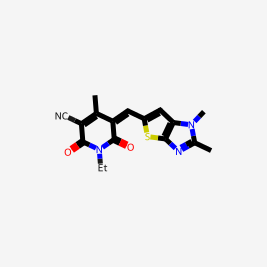 CCN1C(=O)C(C#N)=C(C)/C(=C/c2cc3c(nc(C)n3C)s2)C1=O